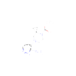 CCCCOC(=O)N1CCN(c2ccnnc2N)CC12CC2